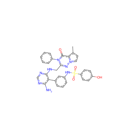 Cc1ccn2nc(CNc3ncnc(N)c3-c3cccc(NS(=O)(=O)c4ccc(O)cc4)c3)n(-c3ccccc3)c(=O)c12